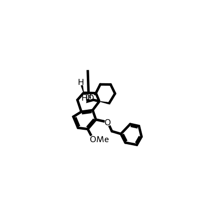 COc1ccc2c(c1OCc1ccccc1)[C@@]13CCCC[C@@]1(O)[C@@H](C2)N(C)CC3